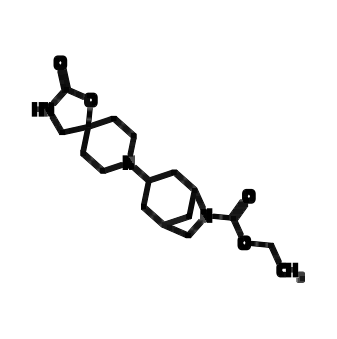 CCOC(=O)N1CC2CC(N3CCC4(CC3)CNC(=O)O4)CC1C2